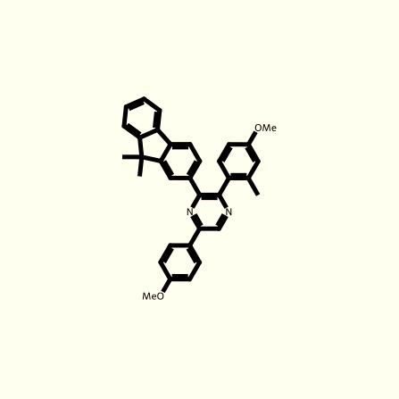 COc1ccc(-c2cnc(-c3ccc(OC)cc3C)c(-c3ccc4c(c3)C(C)(C)c3ccccc3-4)n2)cc1